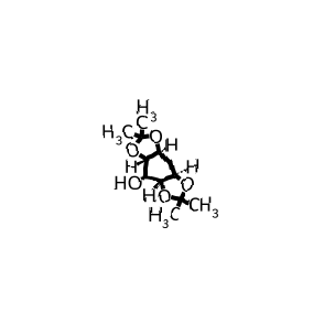 CC1(C)O[C@H]2[C@H](O)[C@H]3OC(C)(C)O[C@@H]3C[C@@H]2O1